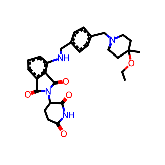 CCOC1(C)CCN(Cc2ccc(CNc3cccc4c3C(=O)N(C3CCC(=O)NC3=O)C4=O)cc2)CC1